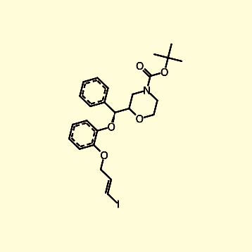 CC(C)(C)OC(=O)N1CCOC([C@@H](Oc2ccccc2OC/C=C/I)c2ccccc2)C1